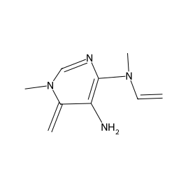 C=CN(C)C1=C(N)C(=C)N(C)C=N1